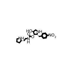 O=C(NCC[C@@H]1CCCN1)O[C@@H]1[C@@H](O)CN[C@@H]1Cc1ccc([N+](=O)[O-])cc1